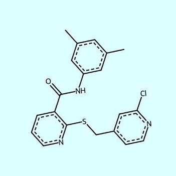 Cc1cc(C)cc(NC(=O)c2cccnc2SCc2ccnc(Cl)c2)c1